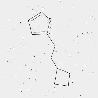 [CH](CC1CCC1)c1cccs1